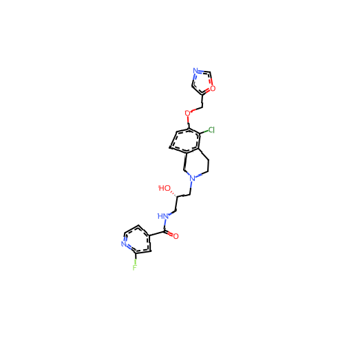 O=C(NC[C@H](O)CN1CCc2c(ccc(OCc3cnco3)c2Cl)C1)c1ccnc(F)c1